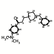 CN(C)c1ccc(C(=O)CCC2CCN(Cc3ccccc3)CC2)cc1